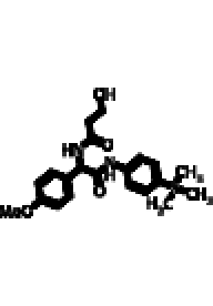 COc1ccc(C(NC(=O)CCO)C(=O)Nc2ccc(S(C)(C)C)cc2)cc1